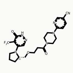 N#Cc1ccc(N2CCN(C(=O)CCOC[C@@H]3CCCN3c3cn[nH]c(=O)c3C(F)(F)F)CC2)nc1